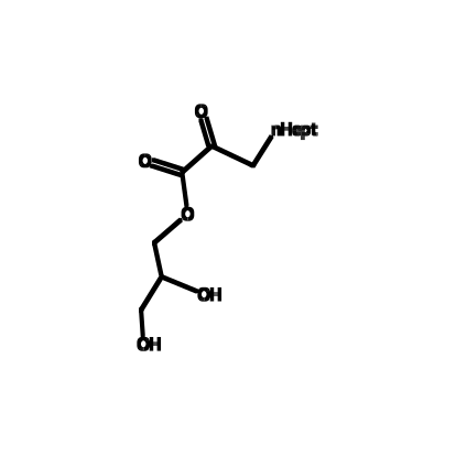 CCCCCCCCC(=O)C(=O)OCC(O)CO